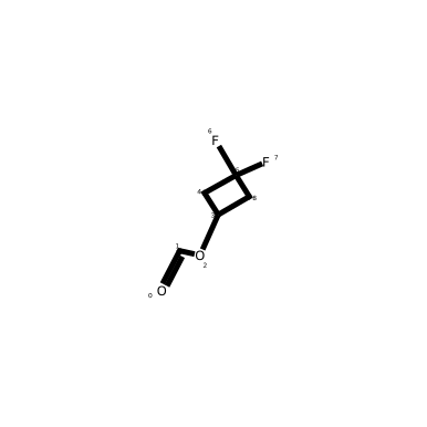 O=COC1CC(F)(F)C1